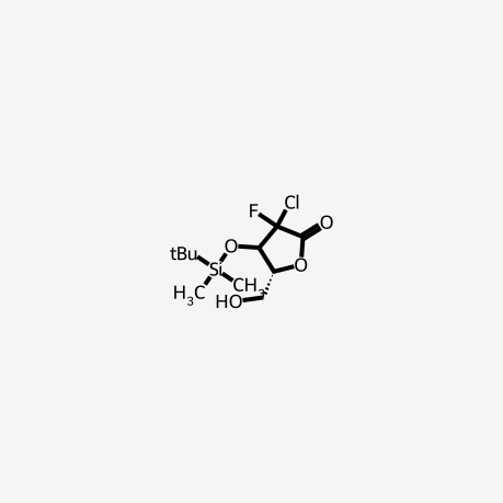 CC(C)(C)[Si](C)(C)OC1[C@@H](CO)OC(=O)C1(F)Cl